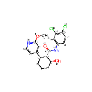 COc1cc([C@@H]2CCC[C@H](O)[C@H]2C(=O)Nc2ccc(Cl)c(Cl)c2)ccn1